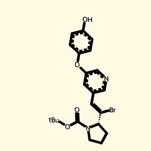 CC(C)(C)OC(=O)N1CCC[C@H]1/C(Br)=C/c1cncc(Oc2ccc(O)cc2)c1